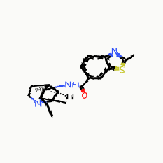 Cc1nc2ccc(C(=O)N[C@@H]3C4CCN(CC4)C3(C)C)cc2s1